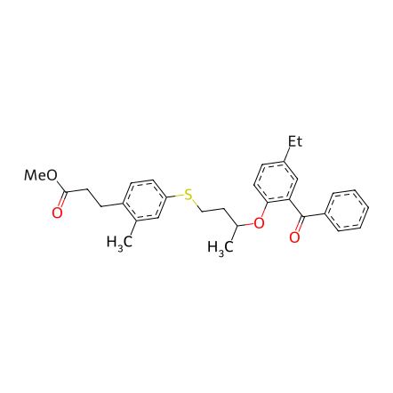 CCc1ccc(OC(C)CCSc2ccc(CCC(=O)OC)c(C)c2)c(C(=O)c2ccccc2)c1